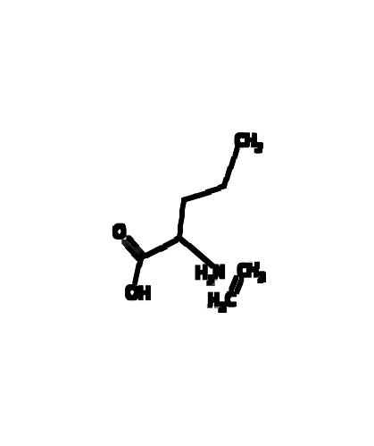 C=C.CCCC(N)C(=O)O